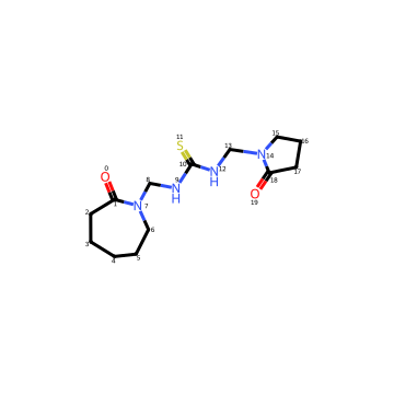 O=C1CCCCCN1CNC(=S)NCN1CCCC1=O